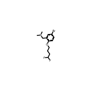 CN(C)Cc1cc(Br)ccc1OCCCC(F)F